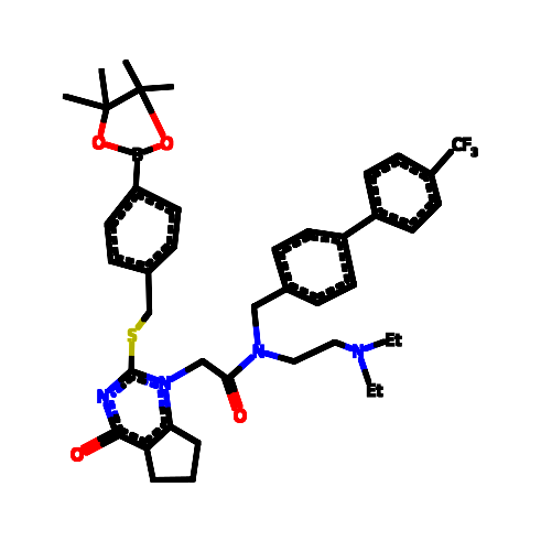 CCN(CC)CCN(Cc1ccc(-c2ccc(C(F)(F)F)cc2)cc1)C(=O)Cn1c(SCc2ccc(B3OC(C)(C)C(C)(C)O3)cc2)nc(=O)c2c1CCC2